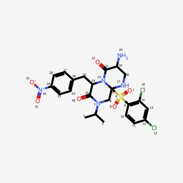 CC(C)N1CC2(S(=O)(=O)c3ccc(Cl)cc3Cl)NCC(N)C(=O)N2C(Cc2ccc([N+](=O)[O-])cc2)C1=O